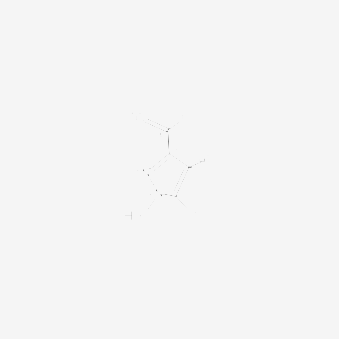 Cc1c(Cl)c(C(=O)O)nn1C